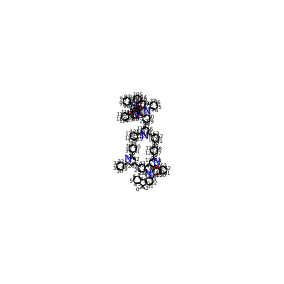 CC1(C)c2ccccc2-c2c1ccc1c3ccccc3n(-c3ccc(-c4cc(-c5ccccc5)nc(-c5ccccc5)c4)cc3-c3cc(-c4ccccc4)nc(-c4ccc(-c5cccc(-c6cc(-c7ccc(-n8c9ccccc9c9ccc%10c(c%11ccccc%11n%10-c%10ccccc%10)c98)c(-c8cc(-c9ccccc9)cc(-c9ccccc9)n8)c7)cc(-c7ccccc7)n6)c5)cc4)c3)c21